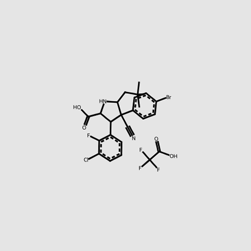 CC(C)(C)CC1NC(C(=O)O)C(c2cccc(Cl)c2F)C1(C#N)c1ccc(Br)cc1.O=C(O)C(F)(F)F